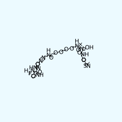 Cc1ncsc1-c1ccc(CNC(=O)C2C[C@@H](O)CN2C(=O)C(NCCOCCOCCOCCOCCC(=O)NCCN2CCN(c3ccc4[nH]c(-c5c(N)c6c(F)cccc6[nH]c5=O)nc4c3)CC2)C(C)(C)C)cc1